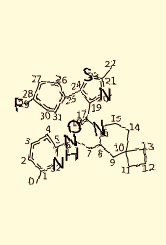 Cc1cccc(NCC2CC3(CCC3)CCN2C(=O)c2nc(C)sc2-c2ccc(F)cc2)n1